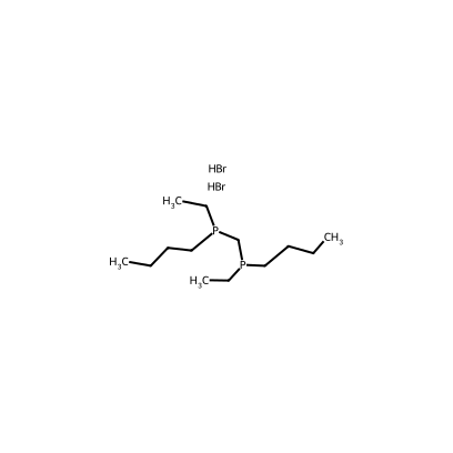 Br.Br.CCCCP(CC)CP(CC)CCCC